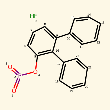 F.O=P(=O)Oc1cccc(-c2ccccc2)c1-c1ccccc1